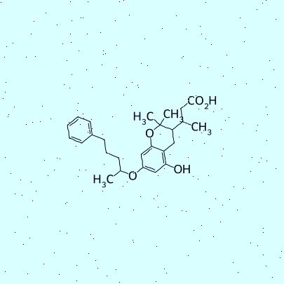 CC(CCCc1ccccc1)Oc1cc(O)c2c(c1)OC(C)(C)C(C(C)CC(=O)O)C2